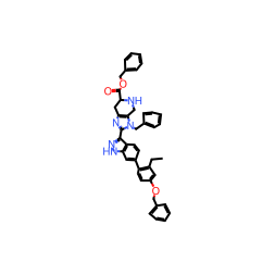 CCc1cc(OCc2ccccc2)ccc1-c1ccc2c(-c3nc4c(n3Cc3ccccc3)CNC(C(=O)OCc3ccccc3)C4)n[nH]c2c1